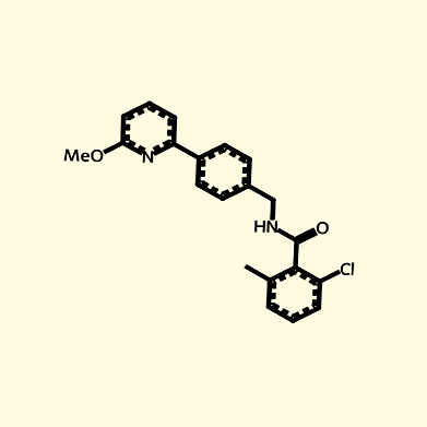 COc1cccc(-c2ccc(CNC(=O)c3c(C)cccc3Cl)cc2)n1